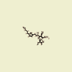 CCc1c(C)nn2c(N)c(C#N)c(NCCc3ccn(CCCSC)n3)nc12